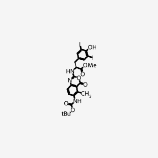 COC(=O)[C@H](Cc1cc(I)c(O)c(I)c1)Nc1nc2ccc(NC(=O)OC(C)(C)C)c(C)c2c(=O)o1